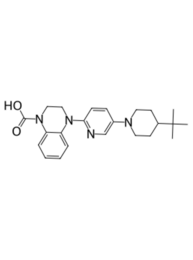 CC(C)(C)C1CCN(c2ccc(N3CCN(C(=O)O)c4ccccc43)nc2)CC1